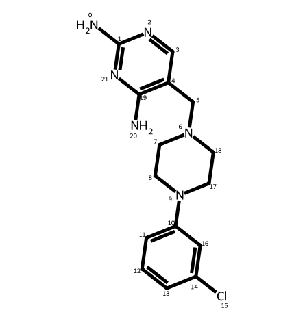 Nc1ncc(CN2CCN(c3cccc(Cl)c3)CC2)c(N)n1